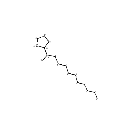 CCCCCCCCCCC(C)C1CCCO1